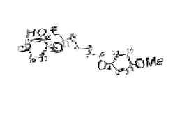 COc1ccc(OCCCCCC(Oc2ccc(C)cc2)C(=O)O)cc1